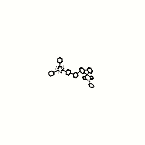 c1ccc(-c2nc(-c3ccccc3)nc(-c3ccc(-c4cccc(-c5ccc6c(c5)C5(c7ccccc7-6)c6ccccc6N(c6ccccc6)c6ccccc65)c4)cc3)n2)cc1